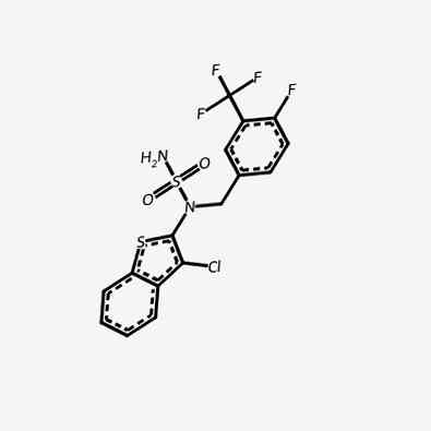 NS(=O)(=O)N(Cc1ccc(F)c(C(F)(F)F)c1)c1sc2ccccc2c1Cl